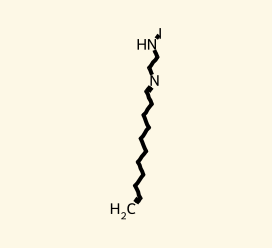 C=CCCCCCCCC/C=N/CCNI